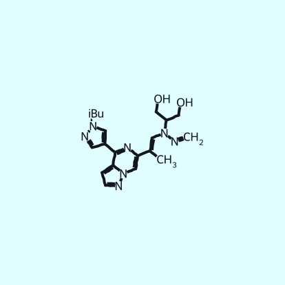 C=NN(/C=C(\C)c1cn2nccc2c(-c2cnn([C@@H](C)CC)c2)n1)C(CO)CO